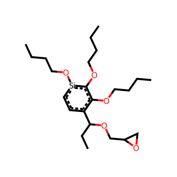 CCCCOc1c(C(CC)OCC2CO2)cc[si](OCCCC)c1OCCCC